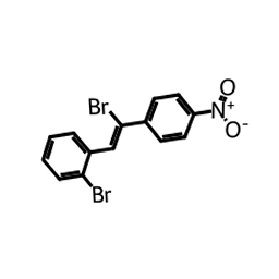 O=[N+]([O-])c1ccc(/C(Br)=C/c2ccccc2Br)cc1